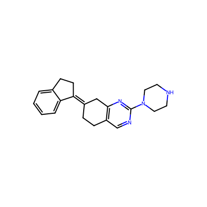 c1ccc2c(c1)CCC2=C1CCc2cnc(N3CCNCC3)nc2C1